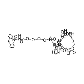 COc1cc2cc(c1Cl)N(C)C(=O)C[C@H](OC(=O)[C@H](N)N(C)C(=O)CCCC(=O)N(C)CCOCCOCCOCCOCCC(=O)NCC(=O)N1Cc3ccccc3C#Cc3ccccc31)[C@]1(N)O[C@H]1[C@H](C)[C@@H]1C[C@@](O)(NC(=O)O1)[C@H](O)/C=C/C=C(\C)C2